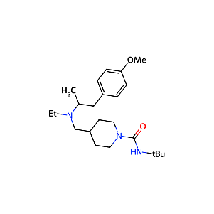 CCN(CC1CCN(C(=O)NC(C)(C)C)CC1)C(C)Cc1ccc(OC)cc1